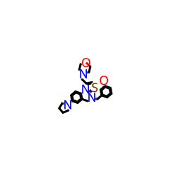 COc1cccc(CN(Cc2cccc(N3CCCC3)c2)c2nc(CN3CCOCC3)cs2)c1